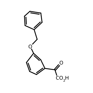 O=C(O)C(=O)c1cccc(OCc2ccccc2)c1